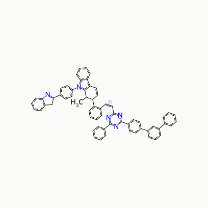 CC1c2c(c3ccccc3n2-c2ccc(C3=Nc4ccccc4C3)cc2)C=CC1c1ccccc1/C=C\c1nc(-c2ccccc2)nc(-c2ccc(-c3cccc(-c4ccccc4)c3)cc2)n1